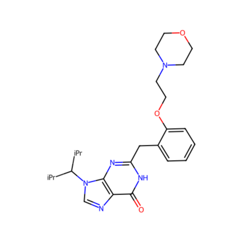 CC(C)C(C(C)C)n1cnc2c(=O)[nH]c(Cc3ccccc3OCCN3CCOCC3)nc21